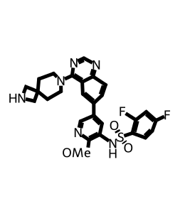 COc1ncc(-c2ccc3ncnc(N4CCC5(CC4)CNC5)c3c2)cc1NS(=O)(=O)c1ccc(F)cc1F